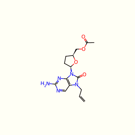 C=CCn1c(=O)n([C@H]2CC[C@@H](COC(C)=O)O2)c2nc(N)ncc21